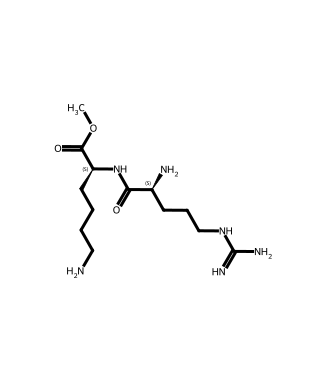 COC(=O)[C@H](CCCCN)NC(=O)[C@@H](N)CCCNC(=N)N